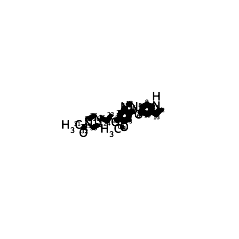 COc1cc2c(Oc3ccc4[nH]ccc4c3)ncnc2cc1OCCCN1CCN(C(C)=O)CC1